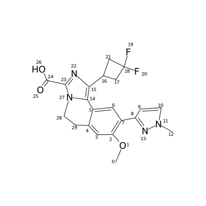 COc1cc2c(cc1-c1ccn(C)n1)-c1c(C3CC(F)(F)C3)nc(C(=O)O)n1CC2